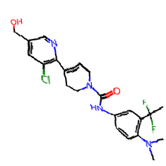 CN(C)c1ccc(NC(=O)N2CC=C(c3ncc(CO)cc3Cl)CC2)cc1C(C)(F)F